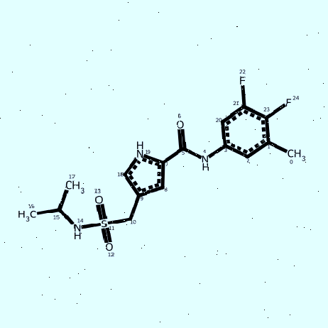 Cc1cc(NC(=O)c2cc(CS(=O)(=O)NC(C)C)c[nH]2)cc(F)c1F